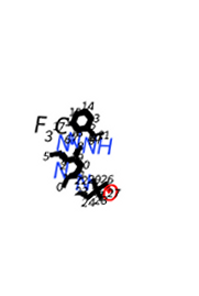 Cc1nc2c(C)nnc(N[C@H](C)c3cccc(C(F)(F)F)c3)c2cc1N1CCC2(COC2)C1